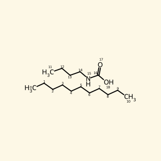 CCCCCCCCCCC.CCCCNC(=O)O